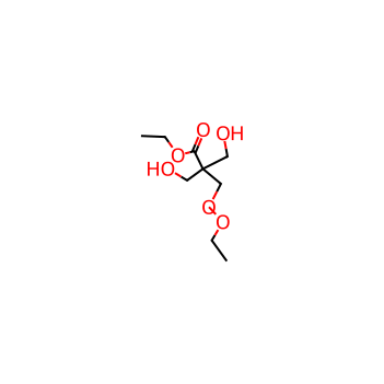 CCOOCC(CO)(CO)C(=O)OCC